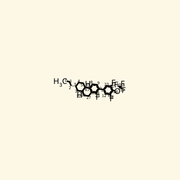 CCC[C@@H]1CC[C@@H]2c3ccc(-c4cc(F)c(OC(F)(F)F)c(F)c4)c(F)c3CC[C@@H]2C1